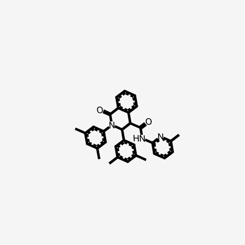 Cc1cc(C)cc(C2C(C(=O)Nc3cccc(C)n3)c3ccccc3C(=O)N2c2cc(C)cc(C)c2)c1